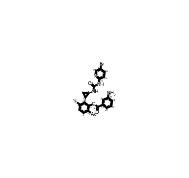 CC(=O)c1ccc(F)c([C@H]2C[C@H]2NC(=O)Nc2ccc(Br)cn2)c1OC(=O)c1cccc(N)c1